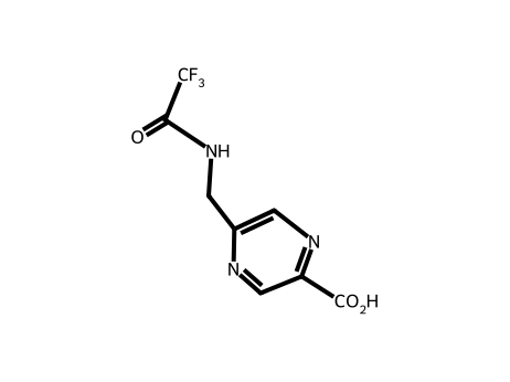 O=C(O)c1cnc(CNC(=O)C(F)(F)F)cn1